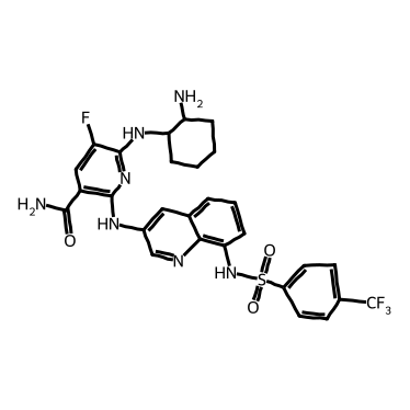 NC(=O)c1cc(F)c(NC2CCCCC2N)nc1Nc1cnc2c(NS(=O)(=O)c3ccc(C(F)(F)F)cc3)cccc2c1